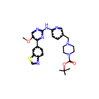 COc1cnc(Nc2ccc(CN3CCN(C(=O)OC(C)(C)C)CC3)cn2)nc1-c1ccc2ncsc2c1